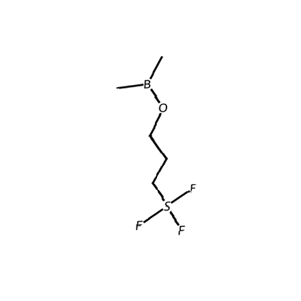 CB(C)OCCCS(F)(F)F